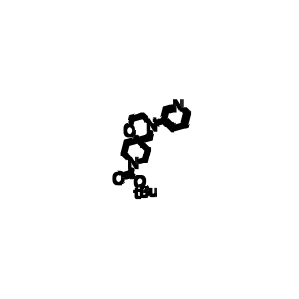 CC(C)(C)OC(=O)N1CCC2(CC1)CN(c1cccnc1)CCO2